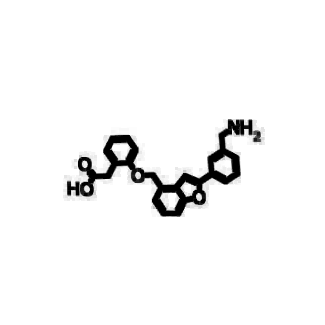 NCc1cccc(-c2cc3c(COc4ccccc4CC(=O)O)cccc3o2)c1